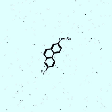 CCCCOc1ccc2c(ccc3cc(C(F)(F)F)ccc32)c1